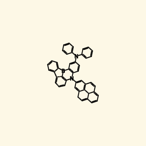 C1=CC2=CCc3cc(N4c5ccc(N(c6ccccc6)c6ccccc6)cc5B5c6ccccc6-c6cccc4c65)cc4c3C2C(=C1)C=C4